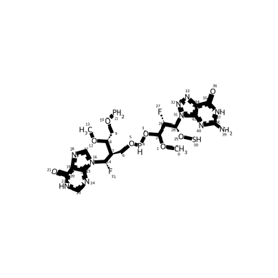 COC(OPOC[C@H]([C@@H](COP)OC)[C@H](F)n1cnc2c(=O)[nH]cnc21)[C@H](F)[C@@H](OS)n1nnc2c(=O)[nH]c(N)nc21